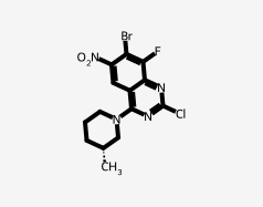 C[C@@H]1CCCN(c2nc(Cl)nc3c(F)c(Br)c([N+](=O)[O-])cc23)C1